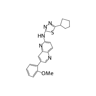 COc1ccccc1-c1cnc2ccc(Nc3nnc(C4CCCC4)s3)nc2c1